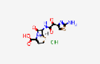 Cl.Nc1nc(C(=O)C(=O)NC2C(=O)N3C(C(=O)O)=CCS[C@H]23)cs1